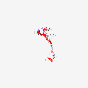 CO[C@H]1C[C@@H]2CC[C@@H](C)[C@@](O)(O2)C(=O)C(=O)N2CCCC[C@H]2C(=O)O[C@H]([C@H](N)C[C@@H]2CC[C@@H](OC(=O)NCc3cnc(N4CCN(c5ncc(C(=O)NCCOCCOCCOCCOCCC(=O)N6CCc7cc(Cn8nc(-c9cnc%10[nH]ccc%10c9)c9c(N)ncnc98)ccc7C6)cn5)CC4)nc3)[C@H](OC)C2)CC(=O)[C@H](C)/C=C(\C)[C@@H](O)[C@@H](O)C(=O)[C@H](C)C[C@H](C)/C=C/C=C/C=C/1C